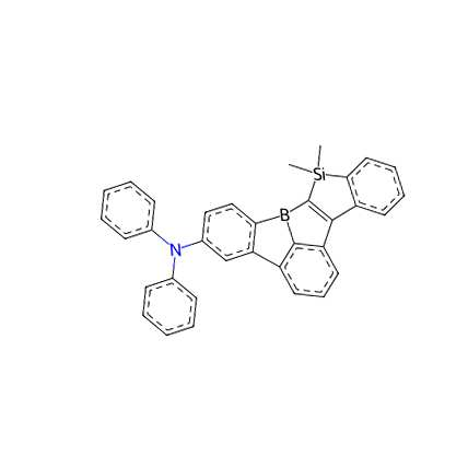 C[Si]1(C)C2=C(c3ccccc31)c1cccc3c1B2c1ccc(N(c2ccccc2)c2ccccc2)cc1-3